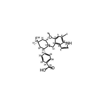 COc1cc(C)c2[nH]ccc2c1CN1CC[C@](C)(F)C[C@H]1c1ccc(C(=O)O)cc1